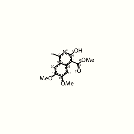 COC(=O)c1c(O)nc(C)c2cc(OC)c(OC)cc12